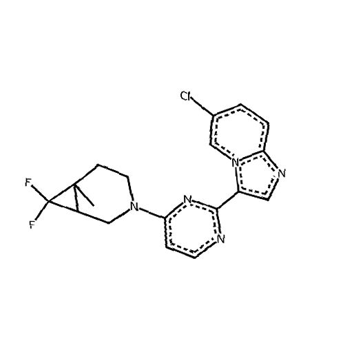 CC12CCN(c3ccnc(-c4cnc5ccc(Cl)cn45)n3)CC1C2(F)F